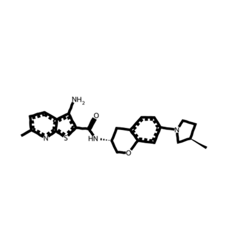 Cc1ccc2c(N)c(C(=O)N[C@H]3COc4cc(N5CC[C@@H](C)C5)ccc4C3)sc2n1